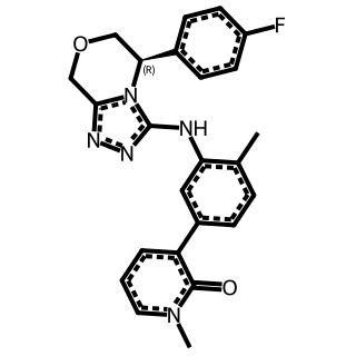 Cc1ccc(-c2cccn(C)c2=O)cc1Nc1nnc2n1[C@H](c1ccc(F)cc1)COC2